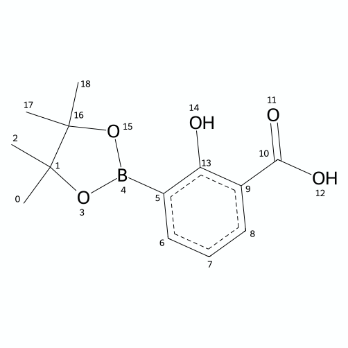 CC1(C)OB(c2cccc(C(=O)O)c2O)OC1(C)C